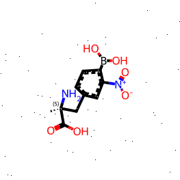 C[C@](N)(Cc1ccc(B(O)O)c([N+](=O)[O-])c1)C(=O)O